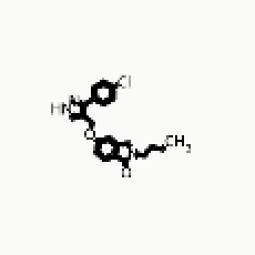 CCCCN1Cc2cc(OCc3c[nH]nc3-c3ccc(Cl)cc3)ccc2C1=O